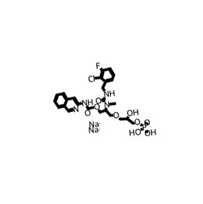 CN(C(=O)NCc1cccc(F)c1Cl)C(COCC(O)COP(=O)(O)O)COC(=O)Nc1cc2ccccc2cn1.[Na].[Na]